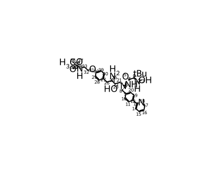 CC(C)(C)C(NO)C(=O)NN(Cc1ccc(-c2ccccn2)cc1)C[C@H](O)C(N)Cc1ccc(OCCNS(C)(=O)=O)cc1